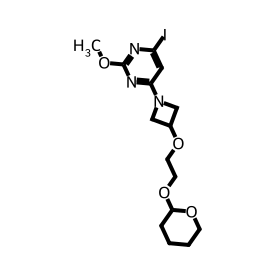 COc1nc(I)cc(N2CC(OCCOC3CCCCO3)C2)n1